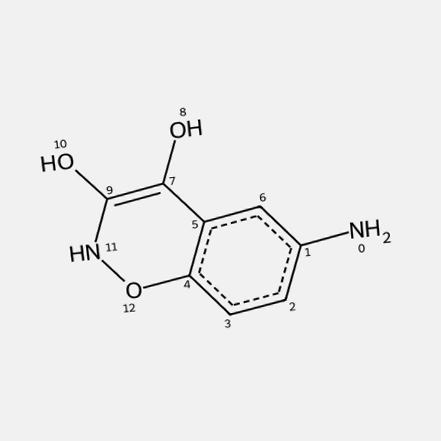 Nc1ccc2c(c1)C(O)=C(O)NO2